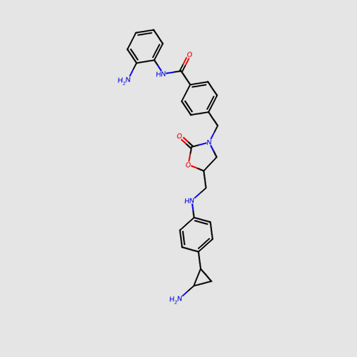 Nc1ccccc1NC(=O)c1ccc(CN2CC(CNc3ccc(C4CC4N)cc3)OC2=O)cc1